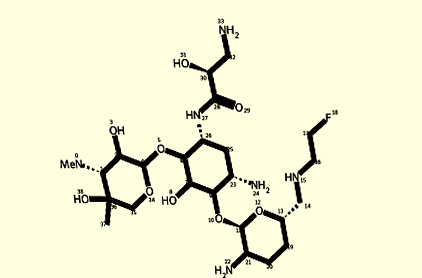 CN[C@@H]1C(O)C(OC2C(O)C(O[C@H]3O[C@H](CNCCF)CCC3N)[C@@H](N)C[C@H]2NC(=O)[C@@H](O)CN)OCC1(C)O